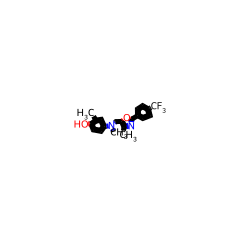 Cc1cc(N(C)Cc2oc(-c3ccc(C(F)(F)F)cc3)nc2C)ccc1O